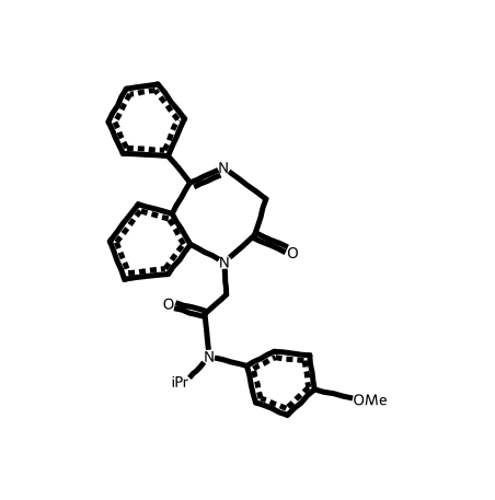 COc1ccc(N(C(=O)CN2C(=O)CN=C(c3ccccc3)c3ccccc32)C(C)C)cc1